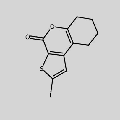 O=c1oc2c(c3cc(I)sc13)CCCC2